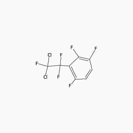 Fc1ccc(F)c(C(F)(F)C(F)(Cl)Cl)c1F